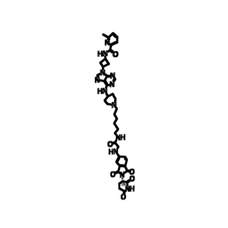 Cc1cccc(C(=O)NC2CC(n3cnc4c(NC5CCN(CCCCCCNC(=O)CNc6ccc7c(c6)C(=O)N([C@H]6CCC(=O)NC6=O)C7=O)CC5)ncnc43)C2)n1